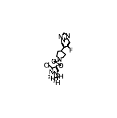 [2H]C([2H])([2H])n1cc(S(=O)(=O)N2CCC(c3cn4ncnc4cc3F)CC2)c(Cl)n1